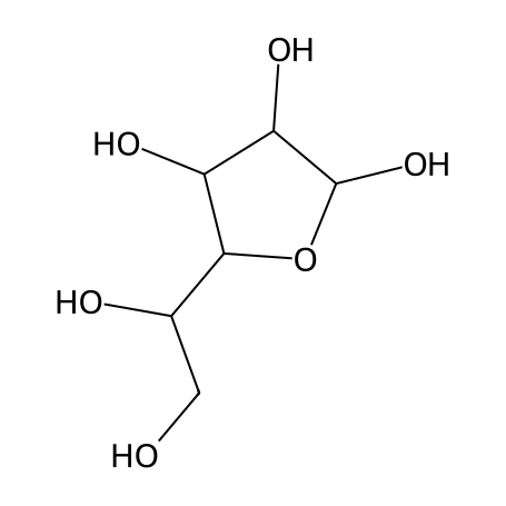 OCC(O)C1OC(O)C(O)C1O